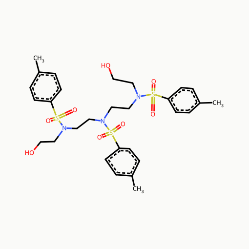 Cc1ccc(S(=O)(=O)N(CCO)CCN(CCN(CCO)S(=O)(=O)c2ccc(C)cc2)S(=O)(=O)c2ccc(C)cc2)cc1